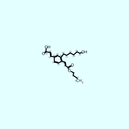 CCCCOC(=O)C=Cc1ccc(C=CC(=O)O)cc1CCCCCCO